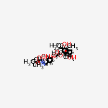 C=C[C@]1(C)C[C@@H](OC(=O)COc2ccc3c(c2)B(O)N(C(=O)OC(C)(C)C)N=C3)[C@]2(C)[C@H](C)CC[C@]3(CCC(O)[C@H]32)[C@@H](C)[C@@H]1O